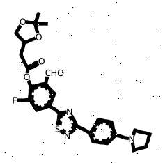 CC1(C)OCC(CC(=O)Oc2c(F)cc(-c3nc(-c4ccc(N5CCCC5)cc4)ns3)cc2C=O)O1